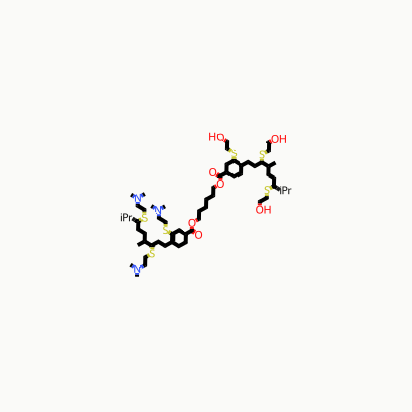 CC(C)C(CCC(C)C(CCC1=C(SCCN(C)C)CC(C(=O)OCCCCCCOC(=O)C2CCC(CCC(SCCO)C(C)CCC(SCCO)C(C)C)C(SCCO)C2)CC1)SCCN(C)C)SCCN(C)C